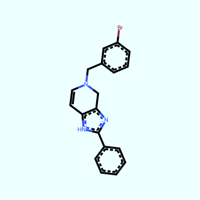 Brc1cccc(CN2C=Cc3[nH]c(-c4ccccc4)nc3C2)c1